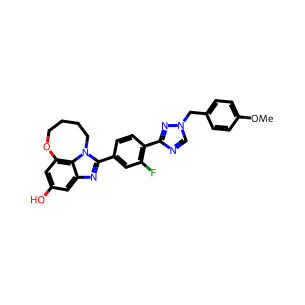 COc1ccc(Cn2cnc(-c3ccc(-c4nc5cc(O)cc6c5n4CCCCO6)cc3F)n2)cc1